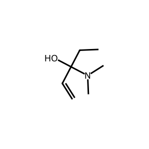 C=CC(O)(CC)N(C)C